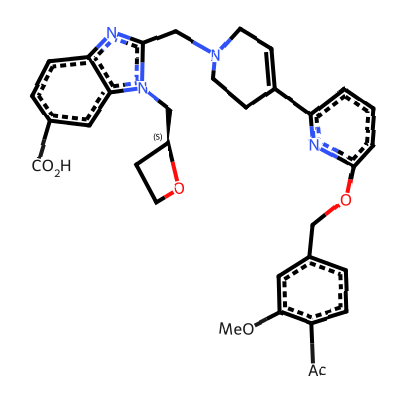 COc1cc(COc2cccc(C3=CCN(Cc4nc5ccc(C(=O)O)cc5n4C[C@@H]4CCO4)CC3)n2)ccc1C(C)=O